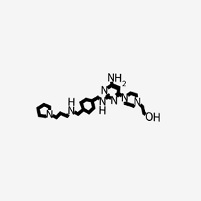 Nc1cc(N2CCN(CCO)CC2)nc(NCC2CCC(CNCCCN3CCCCC3)CC2)n1